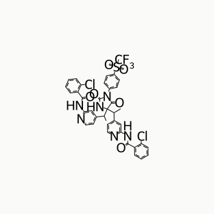 CC(c1ccnc(NC(=O)c2ccccc2Cl)c1)C1(C(C)c2ccnc(NC(=O)c3ccccc3Cl)c2)NC(=O)N(c2ccc(S(=O)(=O)C(F)(F)F)cc2)C1=O